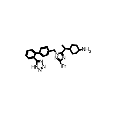 CC(C)c1nc(C(C)C2CCC(N)CC2)n(Cc2ccc(-c3ccccc3-c3nnn[nH]3)cc2)n1